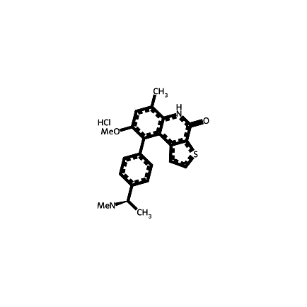 CN[C@H](C)c1ccc(-c2c(OC)cc(C)c3[nH]c(=O)c4sccc4c23)cc1.Cl